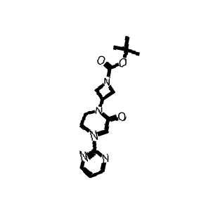 CC(C)(C)OC(=O)N1CC(N2CCN(c3ncccn3)CC2=O)C1